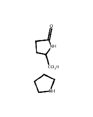 C1CCNC1.O=C1CCC(C(=O)O)N1